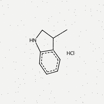 CC1CNc2ccccc21.Cl